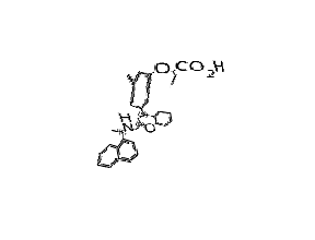 Cc1cc(OC(C)C(=O)O)cc([C@@H]2C[C@H](CN[C@H](C)c3cccc4ccccc34)Oc3ccccc32)c1